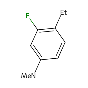 CCc1ccc(NC)cc1F